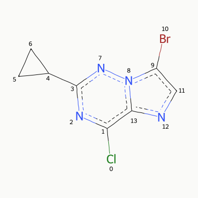 Clc1nc(C2CC2)nn2c(Br)cnc12